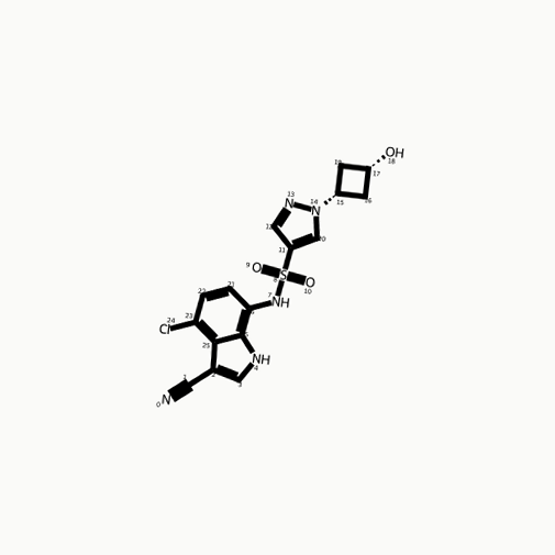 N#Cc1c[nH]c2c(NS(=O)(=O)c3cnn([C@H]4C[C@@H](O)C4)c3)ccc(Cl)c12